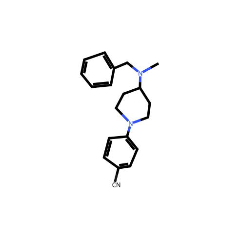 CN(Cc1ccccc1)C1CCN(c2ccc(C#N)cc2)CC1